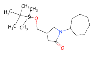 CC(C)(C)[Si](C)(C)OCC1CC(=O)N(C2CCCCCC2)C1